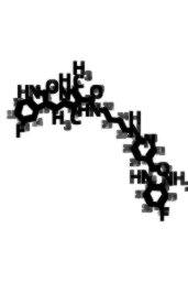 Cc1[nH]c(/C=C2\C(=O)Nc3ccc(F)cc32)c(C)c1C(=O)NCCCCNc1ccc(C(=O)Nc2ccc(F)cc2N)cn1